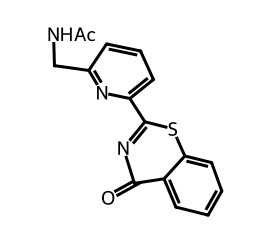 CC(=O)NCc1cccc(-c2nc(=O)c3ccccc3s2)n1